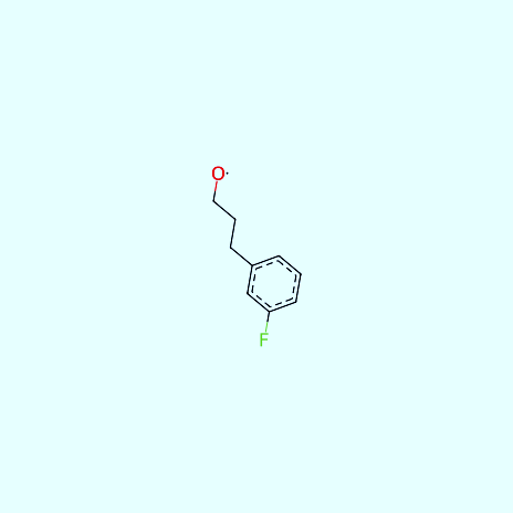 [O]CCCc1cccc(F)c1